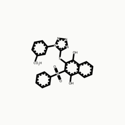 O=C(O)c1cccc(-n2nnnc2Sc2c(S(=O)(=O)c3ccccc3)c(O)c3ccccc3c2O)c1